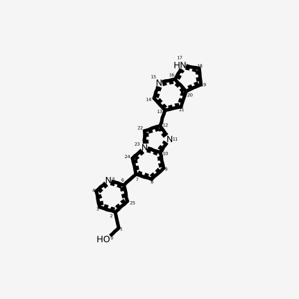 OCc1ccnc(-c2ccc3nc(-c4cnc5[nH]ccc5c4)cn3c2)c1